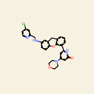 O=c1cc(N2CCOCC2)cc(-c2cccc3c2Oc2ccc(NCc4cc(Cl)ccn4)cc2C3)[nH]1